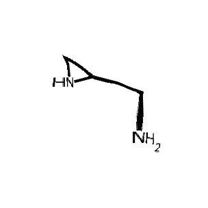 NCC1CN1